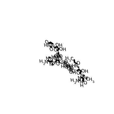 CCCC(=O)NC[C@H]1[C@@H](O)[C@H](n2c[n+](C)c3c(=O)[nH]c(N)nc32)O[C@@H]1COP(=O)(O)OP(=O)(O)OP(=O)(O)OC[C@H]1O[C@@H](n2cnc3c(N)ncnc32)[C@H](OC)[C@@H]1OP(=O)(O)OC[C@H]1O[C@@H](n2ccc(=O)[nH]c2=O)[C@H](O)[C@@H]1O